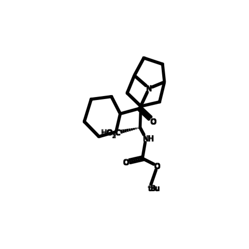 CC(C)(C)OC(=O)N[C@H](C(=O)O)C1CC2CCC(C1)N2C(=O)C1CCCCC1